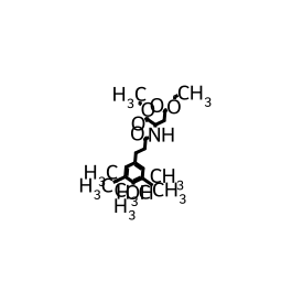 CCOC(=O)CC(NC(=O)CCc1cc(C(C)(C)C)c(O)c(C(C)(C)C)c1)C(=O)OCC